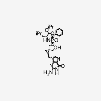 CC(C)C[C@H](NP(=O)(OC[C@@]1(CO)C/C1=C/n1cnc2c(=O)[nH]c(N)nc21)Oc1ccccc1)C(=O)OC(C)C